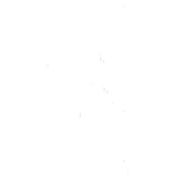 O=C(NC(Cc1ccccc1)C(=O)NC(Cc1ccc(F)cc1)C(=O)O)c1ccccc1